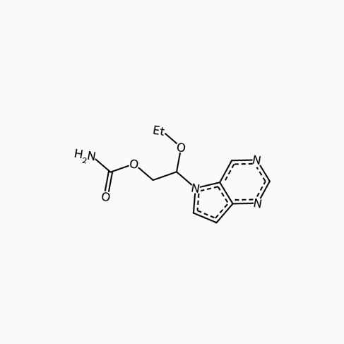 CCOC(COC(N)=O)n1ccc2ncncc21